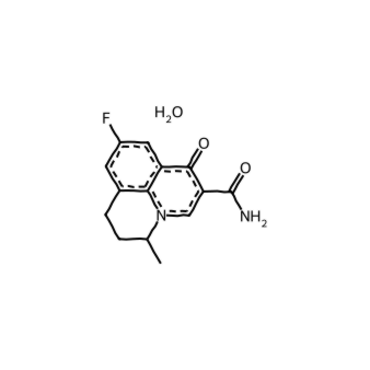 CC1CCc2cc(F)cc3c(=O)c(C(N)=O)cn1c23.O